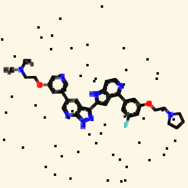 CN(C)CCOc1cncc(-c2cnc3[nH]nc(-c4cc5c(-c6cc(F)cc(OCCN7CCCC7)c6)nccc5[nH]4)c3c2)c1